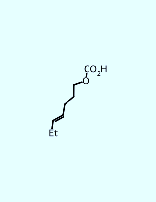 CCC=CCCCOC(=O)O